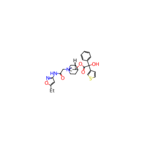 CCc1cc(NC(=O)C[N+]23CCC(CC2)[C@@H](OC(=O)C(O)(c2ccccc2)c2ccsc2)C3)no1